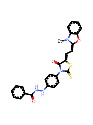 CCN1C(=CC=C2SC(=S)N(c3ccc(NNC(=O)c4ccccc4)cc3)C2=O)Oc2ccccc21